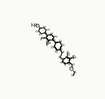 CCOCc1ccc(CCC2=CCC(c3ccc(C4CCC(O)CC4)c(F)c3F)C=C2)c(F)c1F